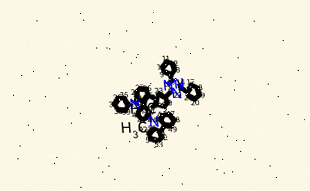 Cc1ccc(-c2nc(-c3ccccc3)nc(-c3ccccc3)n2)cc1-c1cccc2c1c1c(n2-c2ccccc2)CC(C)C(n2c3ccccc3c3ccccc32)=C1